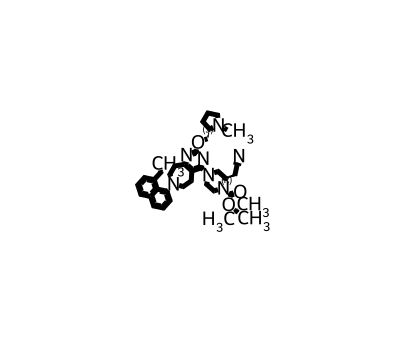 CCc1cccc2cccc(N3CCc4nc(OC[C@@H]5CCCN5C)nc(N5CCN(C(=O)OC(C)(C)C)[C@H](CC#N)C5)c4CC3)c12